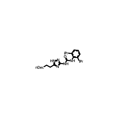 CCCCCCCCCCCCc1nc(NC(=O)Nc2c(C(C)C)cccc2C(C)C)n[nH]1